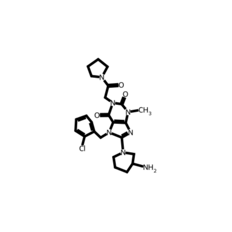 Cn1c(=O)n(CC(=O)N2CCCC2)c(=O)c2c1nc(N1CCCC(N)C1)n2Cc1ccccc1Cl